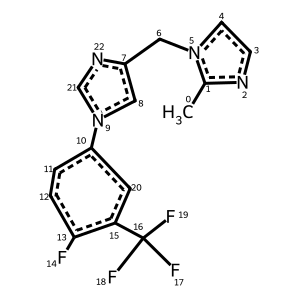 Cc1nccn1Cc1cn(-c2ccc(F)c(C(F)(F)F)c2)cn1